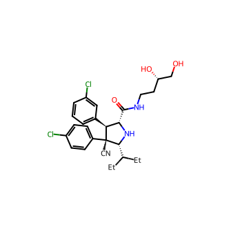 CCC(CC)[C@H]1N[C@@H](C(=O)NCC[C@H](O)CO)[C@H](c2cccc(Cl)c2)[C@@]1(C#N)c1ccc(Cl)cc1